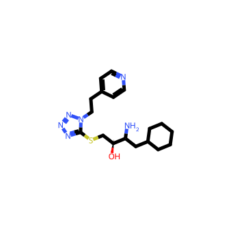 NC(CC1CCCCC1)[C@@H](O)CSc1nnnn1CCc1ccncc1